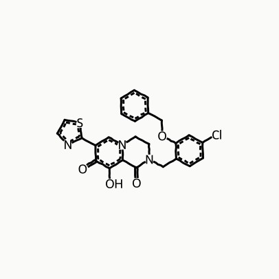 O=C1c2c(O)c(=O)c(-c3nccs3)cn2CCN1Cc1ccc(Cl)cc1OCc1ccccc1